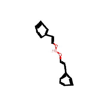 B(O/C=C/c1ccccc1)O/C=C/c1ccccc1